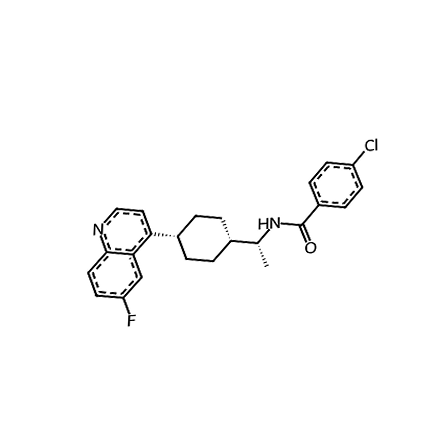 C[C@@H](NC(=O)c1ccc(Cl)cc1)[C@H]1CC[C@@H](c2ccnc3ccc(F)cc32)CC1